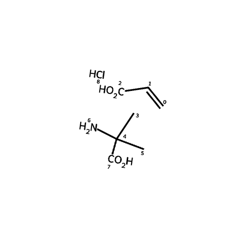 C=CC(=O)O.CC(C)(N)C(=O)O.Cl